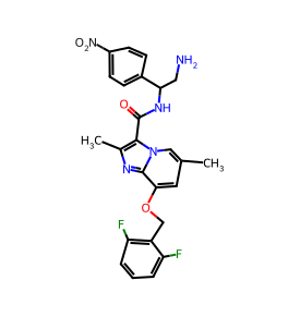 Cc1cc(OCc2c(F)cccc2F)c2nc(C)c(C(=O)NC(CN)c3ccc([N+](=O)[O-])cc3)n2c1